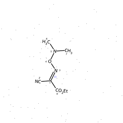 CCOC(=O)/C(C#N)=N/ON(C)C